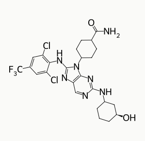 NC(=O)C1CCC(n2c(Nc3c(Cl)cc(C(F)(F)F)cc3Cl)nc3cnc(NC4CCC[C@H](O)C4)nc32)CC1